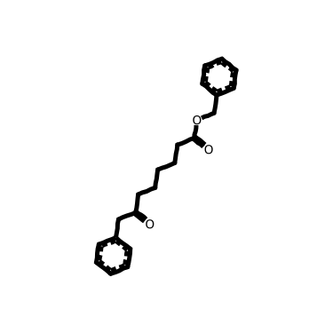 O=C(CCCCCC(=O)OCc1ccccc1)Cc1ccccc1